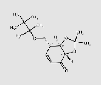 CC1(C)O[C@@H]2[C@@H](CO[Si](C)(C)C(C)(C)C)C=CC(=O)[C@H]2O1